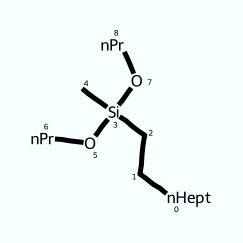 CCCCCCCCC[Si](C)(OCCC)OCCC